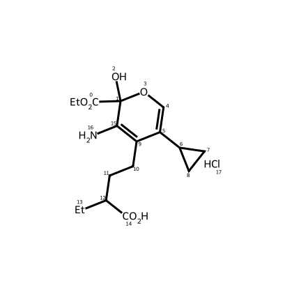 CCOC(=O)C1(O)OC=C(C2CC2)C(CCC(CC)C(=O)O)=C1N.Cl